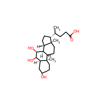 CC(CCC(=O)O)[C@H]1CC[C@H]2[C@@H]3[C@H](O)[C@H](O)[C@@H]4C[C@H](O)CC[C@]4(C)[C@H]3CC[C@]12C